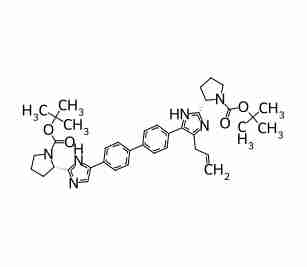 C=CCc1nc([C@@H]2CCCN2C(=O)OC(C)(C)C)[nH]c1-c1ccc(-c2ccc(-c3cnc([C@@H]4CCCN4C(=O)OC(C)(C)C)[nH]3)cc2)cc1